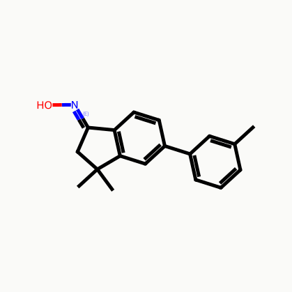 Cc1cccc(-c2ccc3c(c2)C(C)(C)C/C3=N\O)c1